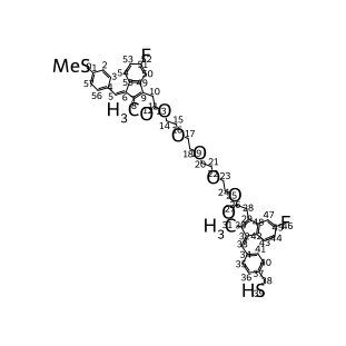 CSc1ccc(/C=C2/C(C)=C(CC(=O)OCCOCCOCCOCCOC(=O)CC3=C(C)/C(=C/c4ccc(CS)cc4)c4ccc(F)cc43)c3cc(F)ccc32)cc1